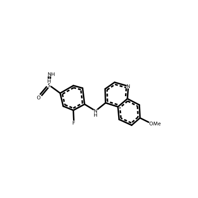 COc1ccc2c(Nc3ccc([SH](=N)=O)cc3F)ccnc2c1